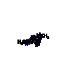 Cc1cccc(-c2nn3c(c2-c2ccnc4cc(-c5cnn(C)c5)ccc24)CCC3)n1